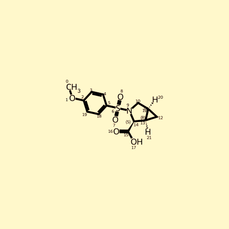 COc1ccc(S(=O)(=O)N2C[C@H]3C[C@H]3[C@H]2C(=O)O)cc1